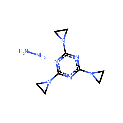 C1CN1c1nc(N2CC2)nc(N2CC2)n1.NN